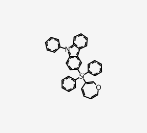 C1=COC=C([Si](c2ccccc2)(c2ccccc2)c2ccc3c(c2)c2ccccc2n3-c2ccccc2)C=C1